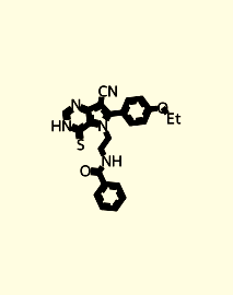 CCOc1ccc(-c2c(C#N)c3nc[nH]c(=S)c3n2CCNC(=O)c2ccccc2)cc1